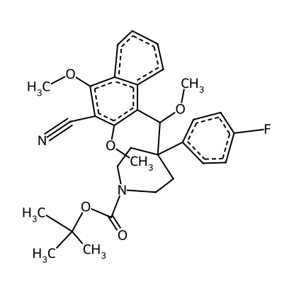 COc1c(C#N)c(OC)c2ccccc2c1C(OC)C1(c2ccc(F)cc2)CCN(C(=O)OC(C)(C)C)CC1